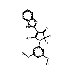 CCOc1cc(OCC)cc(N2C(N)=C(c3nc4ccccc4[nH]3)C(=O)C2(C)C)c1